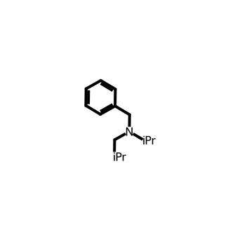 CC(C)CN(Cc1ccccc1)C(C)C